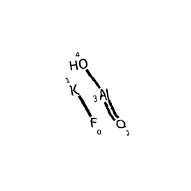 [F][K].[O]=[Al][OH]